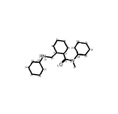 CN(C(=O)C1CCCCC1CNC1CCCCC1)C1CCCCC1